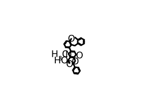 Cn1c(-c2cccc3c2Cc2ccccc2CO3)cc(=O)c(OCc2ccccc2)c1C(=O)O